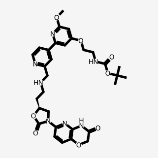 COc1cc(OCCNC(=O)OC(C)(C)C)cc(-c2ccnc(CNCC[C@H]3CN(c4ccc5c(n4)NC(=O)CO5)C(=O)O3)c2)n1